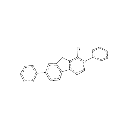 [Ti][c]1c(-c2ccccc2)ccc2c1Cc1cc(-c3ccccc3)ccc1-2